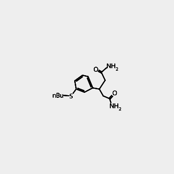 CCCCSc1cccc(C(CC(N)=O)CC(N)=O)c1